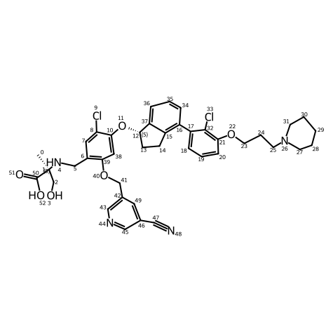 C[C@@](CO)(NCc1cc(Cl)c(O[C@H]2CCc3c(-c4cccc(OCCCN5CCCCC5)c4Cl)cccc32)cc1OCc1cncc(C#N)c1)C(=O)O